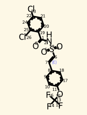 O=C(NS(=O)(=O)/C=C/c1ccc(OC(F)(F)F)cc1)c1ccc(Cl)cc1Cl